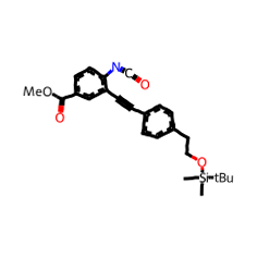 COC(=O)c1ccc(N=C=O)c(C#Cc2ccc(CCO[Si](C)(C)C(C)(C)C)cc2)c1